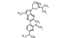 CCC(CN(C)C(C)C)n1cc(C)c2nc(-c3ccc(C(C)C)nc3OC)c(C)nc21